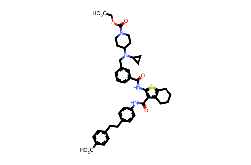 O=C(O)COC(=O)N1CCC(N(Cc2cccc(C(=O)Nc3sc4c(c3C(=O)Nc3ccc(CCc5ccc(C(=O)O)cc5)cc3)CCCC4)c2)C2CC2)CC1